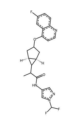 CC(C(=O)Nc1cnn(C(F)F)c1)C1[C@H]2CC(Oc3ccnc4ccc(F)cc34)C[C@@H]12